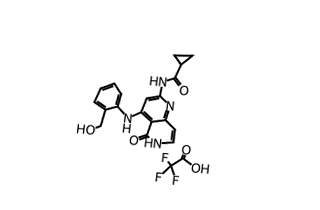 O=C(Nc1cc(Nc2ccccc2CO)c2c(=O)[nH]ccc2n1)C1CC1.O=C(O)C(F)(F)F